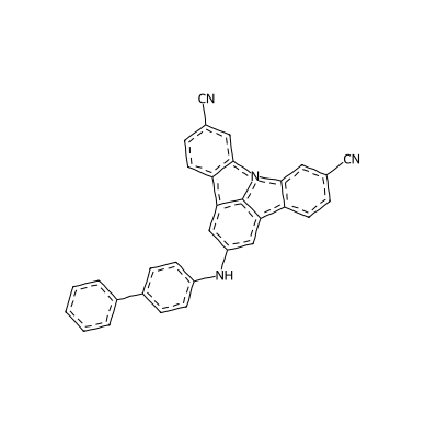 N#Cc1ccc2c3cc(Nc4ccc(-c5ccccc5)cc4)cc4c5ccc(C#N)cc5n(c2c1)c34